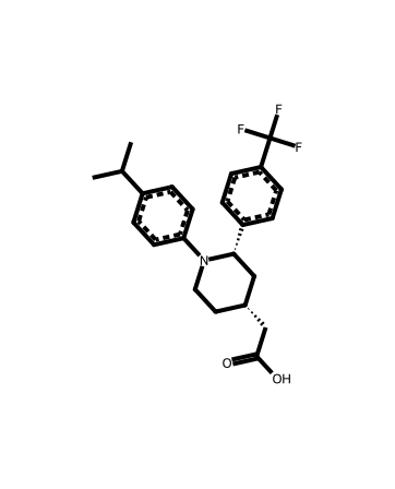 CC(C)c1ccc(N2CC[C@@H](CC(=O)O)C[C@H]2c2ccc(C(F)(F)F)cc2)cc1